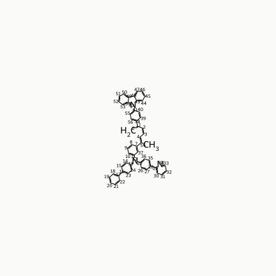 C=C(/C=C\C=C(/C)c1cccc(N(c2ccc(-c3ccccc3)cc2)c2ccc(-c3ccccn3)cc2)c1)c1ccc(-n2c3ccccc3c3ccccc32)cc1